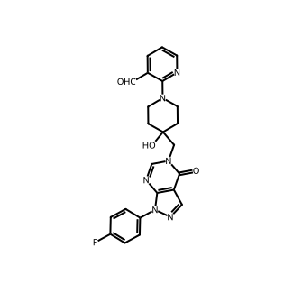 O=Cc1cccnc1N1CCC(O)(Cn2cnc3c(cnn3-c3ccc(F)cc3)c2=O)CC1